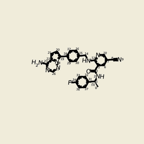 C[C@H](NC(=O)c1cc(C#N)cnc1NCc1ccc(-c2ccc3c(N)ncnn23)cc1)c1ccc(F)cc1